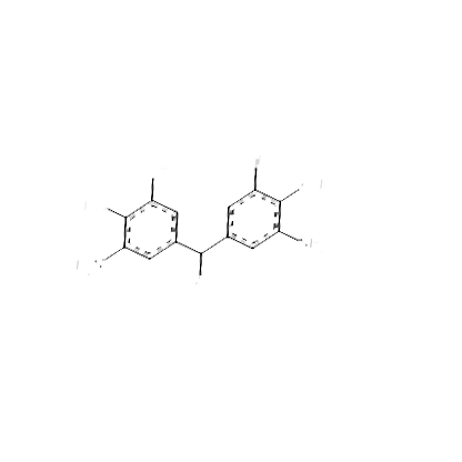 CC(C)c1cc(C(c2cc(N)c(O)c(C(C)C)c2)C(F)(F)F)cc(N)c1O